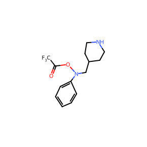 O=C(ON(CC1CCNCC1)c1ccccc1)C(F)(F)F